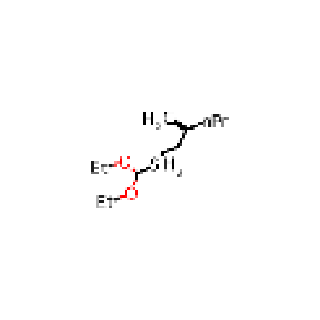 C=C(CCC)CC[SiH2]C(OCC)OCC